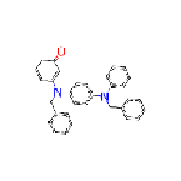 O=C1C=C(N(Cc2ccccc2)c2ccc(N(Cc3ccccc3)c3ccccc3)cc2)C=CC1